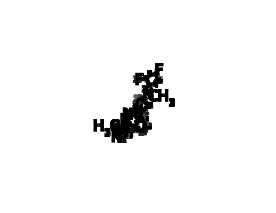 CN(Cc1ccc(F)cc1F)C1CCN(c2nnc(-c3ccnn3C)c3ccccc23)CC1